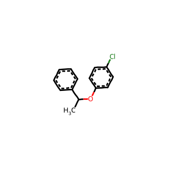 CC(Oc1ccc(Cl)cc1)c1ccccc1